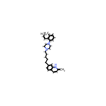 C=C1C=Cc2ccc(CCCCCN3CCN(c4cccc(C)c4/C=C\C)CC3)cc2N1